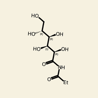 CCC(=O)NC(=O)[C@H](O)[C@@H](O)[C@H](O)[C@H](O)CO